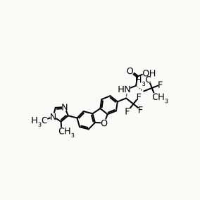 Cc1c(-c2ccc3oc4cc([C@H](N[C@@H](CC(C)(C)F)C(=O)O)C(F)(F)F)ccc4c3c2)ncn1C